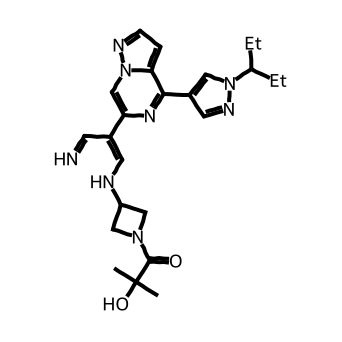 CCC(CC)n1cc(-c2nc(/C(C=N)=C/NC3CN(C(=O)C(C)(C)O)C3)cn3nccc23)cn1